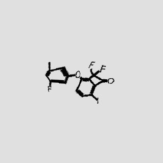 Cc1cc(F)cc(Oc2ccc(I)c3c2C(F)(F)C3=O)c1